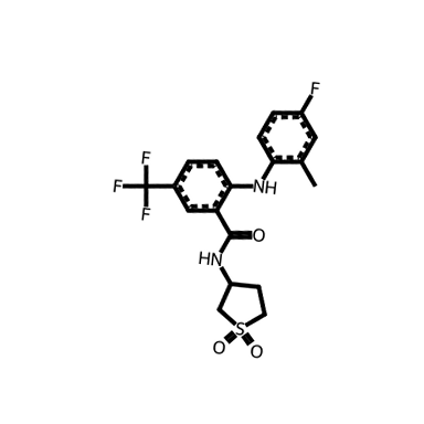 Cc1cc(F)ccc1Nc1ccc(C(F)(F)F)cc1C(=O)NC1CCS(=O)(=O)C1